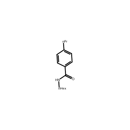 CCCCCCNC(=O)c1ccc(CCC)cc1